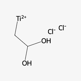 OC(O)[CH2][Ti+2].[Cl-].[Cl-]